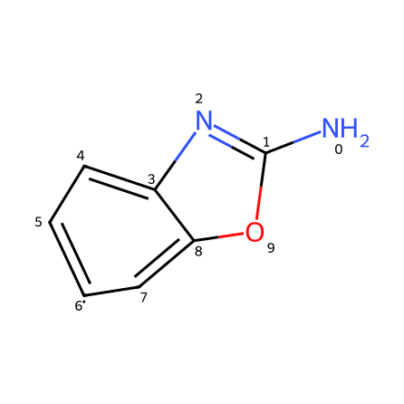 Nc1nc2cc[c]cc2o1